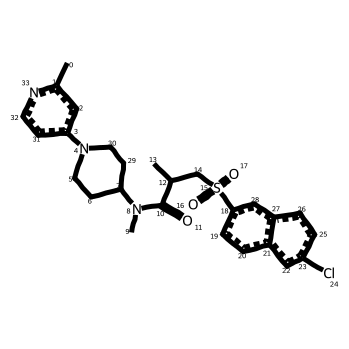 Cc1cc(N2CCC(N(C)C(=O)C(C)CS(=O)(=O)c3ccc4cc(Cl)ccc4c3)CC2)ccn1